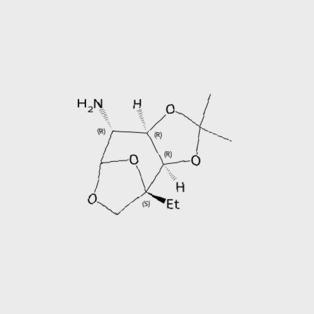 CC[C@@]12COC(O1)[C@H](N)[C@H]1OC(C)(C)O[C@H]12